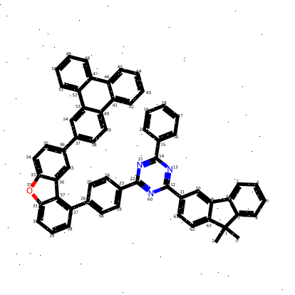 CC1(C)c2ccccc2-c2cc(-c3nc(-c4ccccc4)nc(-c4ccc(-c5cccc6oc7ccc(-c8ccc9c%10ccccc%10c%10ccccc%10c9c8)cc7c56)cc4)n3)ccc21